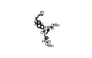 C=C[C@H](CC[C@@H](C)[C@H]1CC[C@H]2[C@@H]3CC=C4C[C@@H](OC(=O)N(CC5CC6(NC(=O)OC(C)(C)C)CC5C6)CC56CC(NC(=O)OC(C)(C)C)(C5)C6)CC[C@]4(C)[C@H]3CC[C@]12C)C(C)C